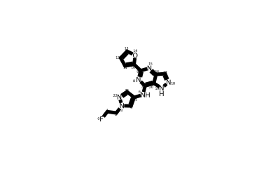 FCCn1cc(Nc2nc(-c3ccco3)nc3cn[nH]c23)cn1